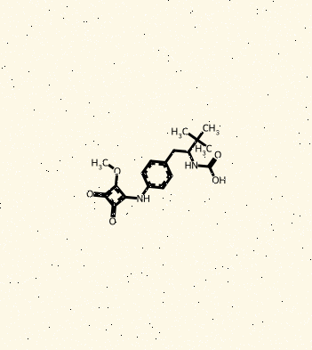 COc1c(Nc2ccc(CC(NC(=O)O)C(C)(C)C)cc2)c(=O)c1=O